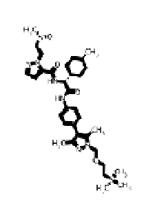 Cc1nn(COCCS(C)(C)C)c(C)c1-c1ccc(NC(=O)C(NC(=O)c2ccnn2CC[S+](C)[O-])[C@H]2CC[C@H](C)CC2)cc1